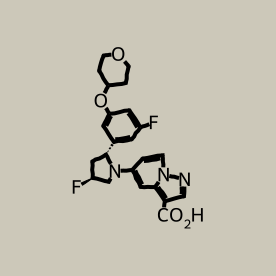 O=C(O)c1cnn2ccc(N3C[C@@H](F)C[C@@H]3c3cc(F)cc(OC4CCOCC4)c3)cc12